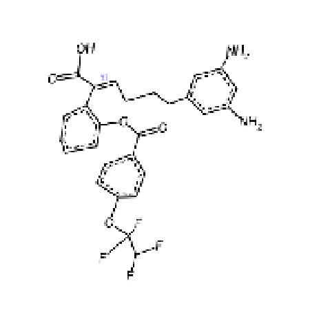 Nc1cc(N)cc(CCC/C=C(/C(=O)O)c2ccccc2OC(=O)c2ccc(OC(F)(F)C(F)F)cc2)c1